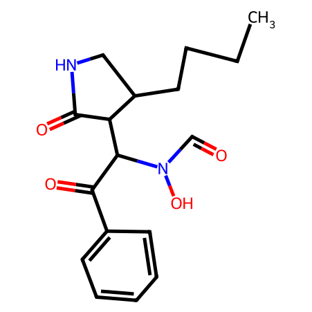 CCCCC1CNC(=O)C1C(C(=O)c1ccccc1)N(O)C=O